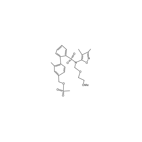 COCCOCN(c1onc(C)c1C)S(=O)(=O)c1ccccc1-c1ccc(COS(C)(=O)=O)cc1C